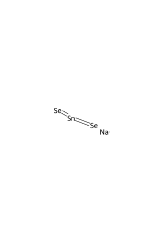 [Na].[Se]=[Sn]=[Se]